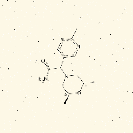 Cc1ncc(C(C(N)=O)N2C[C@H](C)O[C@@H](C)C2)cn1